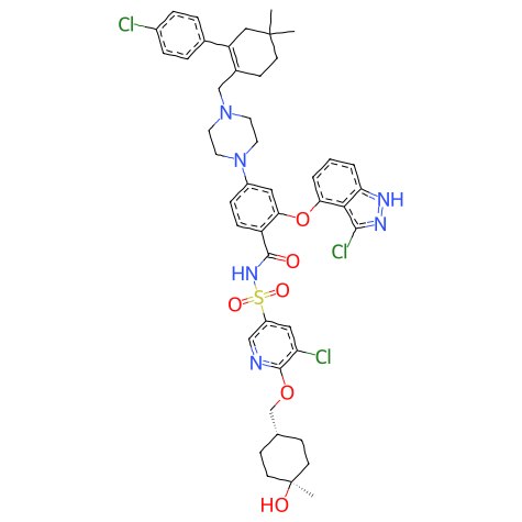 CC1(C)CCC(CN2CCN(c3ccc(C(=O)NS(=O)(=O)c4cnc(OC[C@H]5CC[C@](C)(O)CC5)c(Cl)c4)c(Oc4cccc5[nH]nc(Cl)c45)c3)CC2)=C(c2ccc(Cl)cc2)C1